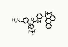 CN(C1CC1)C(c1cccc(NC(=O)c2cc(C(F)(F)F)nn2-c2cccc(CN)c2)c1)c1cc2ccccc2c2ccccc12